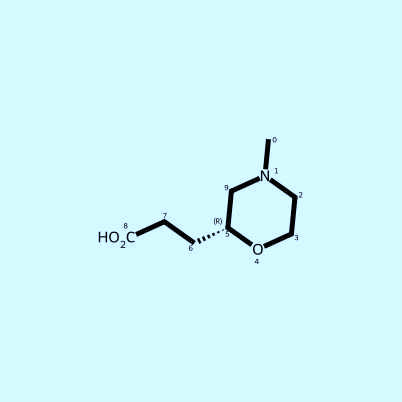 CN1CCO[C@H](CCC(=O)O)C1